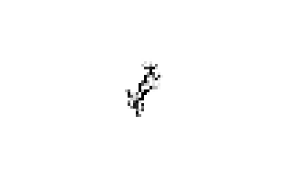 CCOP(=O)(Cc1ccc(C[C@H](NC)C(C)=O)nc1)OCC